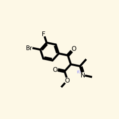 C/N=C(\C)C(C(=O)OC)C(=O)c1ccc(Br)c(F)c1